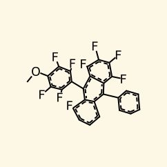 COc1c(F)c(F)c(-c2c3c(F)cccc3c(-c3ccccc3)c3c(F)c(F)c(F)c(F)c23)c(F)c1F